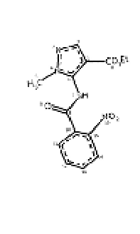 CCOC(=O)c1cnn(C)c1NC(=O)c1ccccc1[N+](=O)[O-]